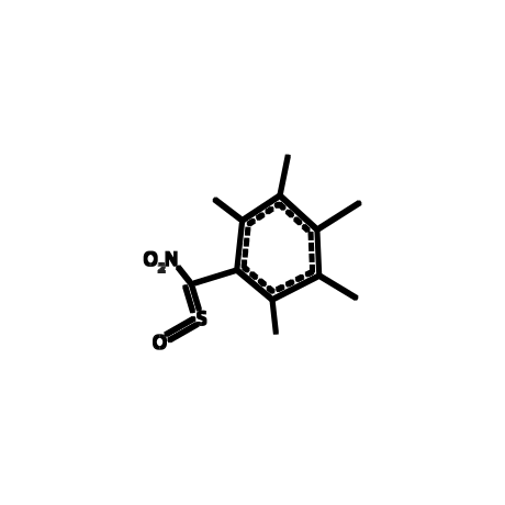 Cc1c(C)c(C)c(C(=S=O)[N+](=O)[O-])c(C)c1C